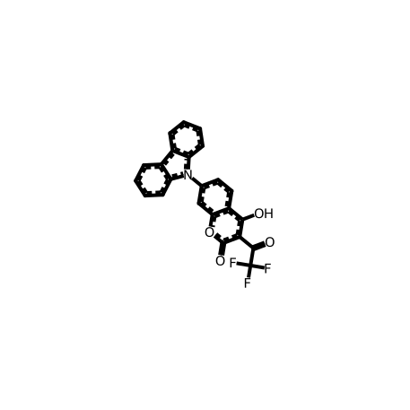 O=C(c1c(O)c2ccc(-n3c4ccccc4c4ccccc43)cc2oc1=O)C(F)(F)F